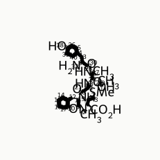 CO.CSCC[C@@H](C(=O)O)N(C)C(=O)[C@H](Cc1ccccc1)NC(=O)CNC(=O)[C@@H](C)NC(=O)[C@@H](N)Cc1ccc(O)cc1